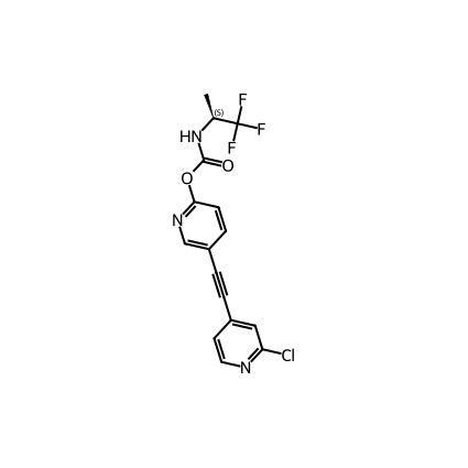 C[C@H](NC(=O)Oc1ccc(C#Cc2ccnc(Cl)c2)cn1)C(F)(F)F